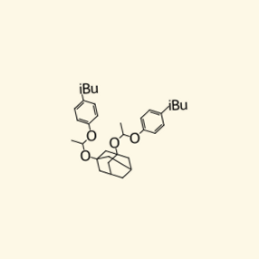 CCC(C)c1ccc(OC(C)OC23CC4CC(C2)CC(OC(C)Oc2ccc(C(C)CC)cc2)(C4)C3)cc1